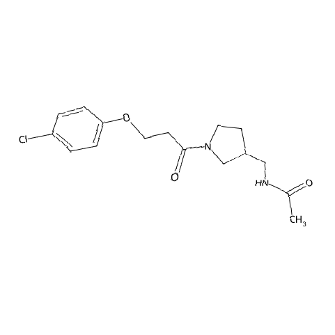 CC(=O)NCC1CCN(C(=O)CCOc2ccc(Cl)cc2)C1